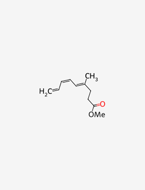 C=C/C=C\C=C(/C)CCC(=O)OC